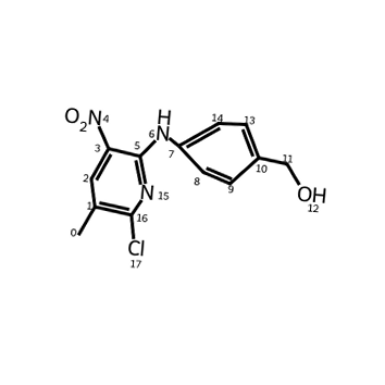 Cc1cc([N+](=O)[O-])c(Nc2ccc(CO)cc2)nc1Cl